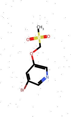 CS(=O)(=O)COc1cncc(Br)c1